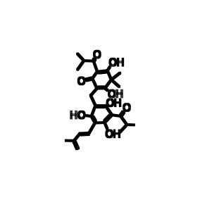 C=C(C)C=Cc1c(O)c(CC2=C(O)C(C)(C)C(O)=C(C(=O)C(C)C)C2=O)c(O)c(C(=O)C(C)C)c1O